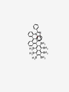 Bc1c(B)c(B)c2c(B)c(-c3c4ccccc4c(-c4ccccc4-n4c(-c5ccccc5)nc5ccccc54)c4ccccc34)c(B)c(B)c2c1B